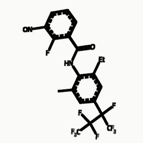 CCc1cc(C(F)(C(F)(F)F)C(F)(F)C(F)(F)F)cc(C)c1NC(=O)c1cccc(N=O)c1F